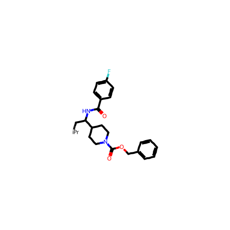 CC(C)CC(NC(=O)c1ccc(F)cc1)C1CCN(C(=O)OCc2ccccc2)CC1